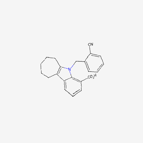 N#Cc1ccccc1Cn1c2c(c3cccc(C(=O)O)c31)CCCCC2